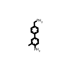 Cc1cc(-c2ccc(CP)cc2)ccc1P